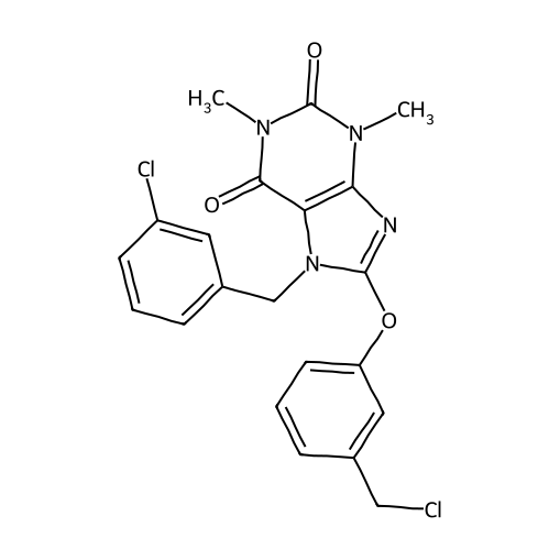 Cn1c(=O)c2c(nc(Oc3cccc(CCl)c3)n2Cc2cccc(Cl)c2)n(C)c1=O